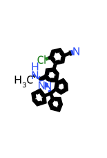 CNc1nn(C(c2ccccc2)(c2ccccc2)c2ccccc2)c2ccc(-c3cc(C#N)ccc3Cl)cc12